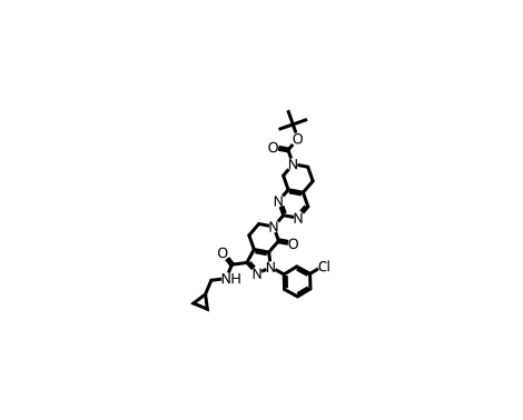 CC(C)(C)OC(=O)N1CCc2cnc(N3CCc4c(C(=O)NCC5CC5)nn(-c5cccc(Cl)c5)c4C3=O)nc2C1